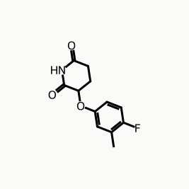 Cc1cc(OC2CCC(=O)NC2=O)ccc1F